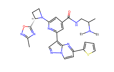 CCN(CC)C(C)CNC(=O)c1cc(-c2cnn3ccc(-c4cccs4)nc23)nc(N2CC[C@H]2c2nc(C)no2)c1